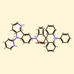 c1ccc(N2c3ccccc3C3(c4ccccc42)c2ccccc2N(c2ccc4c(c2)c2ncccc2n4-c2ccccn2)c2ccccc23)cc1